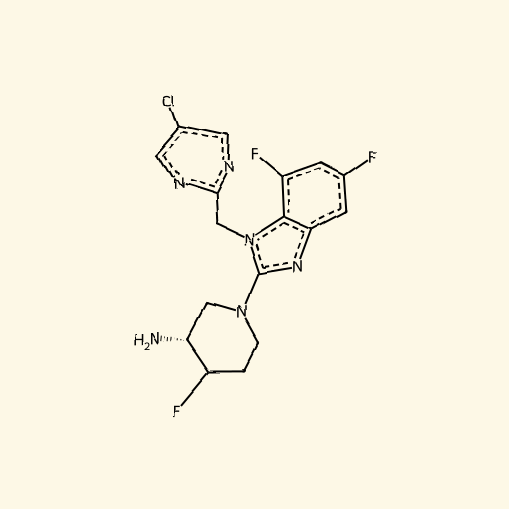 N[C@@H]1CN(c2nc3cc(F)cc(F)c3n2Cc2ncc(Cl)cn2)CCC1F